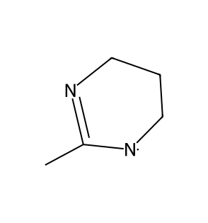 CC1=NCCC[N]1